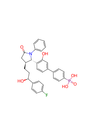 O=C1C[C@H](CC[C@H](O)c2ccc(F)cc2)[C@@H](c2ccc(-c3ccc(P(=O)(O)O)cc3)cc2O)N1c1ccccc1